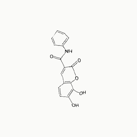 O=C(Nc1ccccc1)c1cc2ccc(O)c(O)c2oc1=O